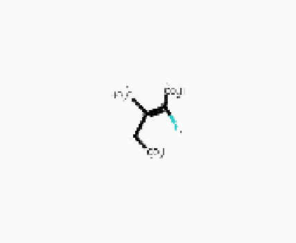 O=C(O)CC(C(=O)O)=C(F)C(=O)O